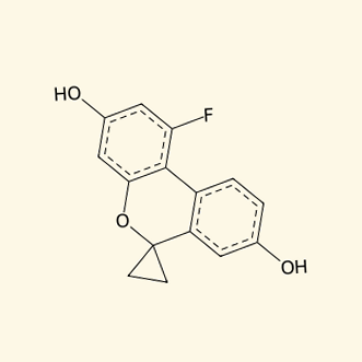 Oc1cc(F)c2c(c1)OC1(CC1)c1cc(O)ccc1-2